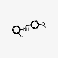 [CH2]c1ccccc1NCc1ccc(OC)cc1